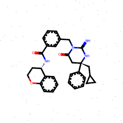 N=C1N[C@](CC2CC2)(c2ccccc2)CC(=O)N1Cc1cccc(C(=O)N[C@H]2CCOc3ccccc32)c1